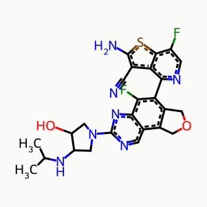 CC(C)NC1CN(c2ncc3c4c(c(-c5ncc(F)c6sc(N)c(C#N)c56)c(F)c3n2)COC4)CC1O